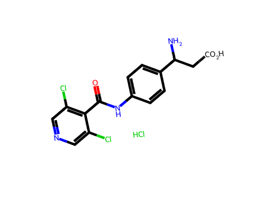 Cl.NC(CC(=O)O)c1ccc(NC(=O)c2c(Cl)cncc2Cl)cc1